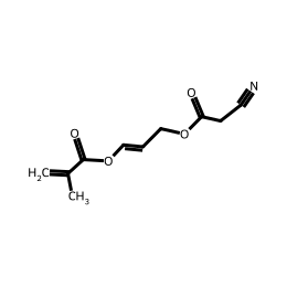 C=C(C)C(=O)OC=CCOC(=O)CC#N